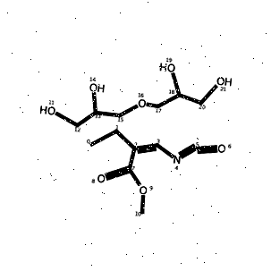 CCC(=CN=C=O)C(=O)OC.OCC(O)COCC(O)CO